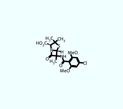 COc1cc(Cl)cc(OC)c1C(=O)NC1(C)C(=O)N2[C@@H](C(=O)O)C(C)(C)S[C@@H]21